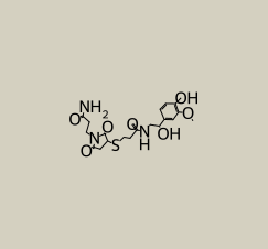 COc1cc(C(O)CNC(=O)CCSC2CC(=O)N(CCC(N)=O)C2=O)ccc1O